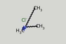 CCCCCCCCCCCCCCCCCCC(CCCCCCCCCC)[n+]1ccn(C)c1.[Cl-]